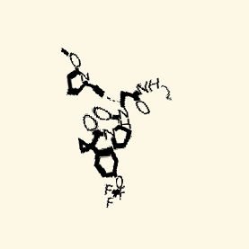 COc1cccc(C#C[C@H](CC(N)=O)NC(=O)[C@@H]2CCCN2C(=O)C2(c3ccc(OC(F)(F)F)cc3)CC2)n1